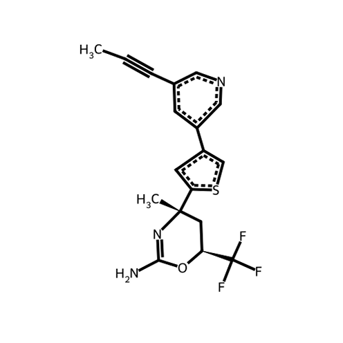 CC#Cc1cncc(-c2csc([C@]3(C)C[C@@H](C(F)(F)F)OC(N)=N3)c2)c1